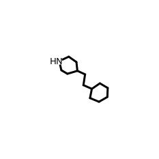 C1CCC(CCC2CCNCC2)CC1